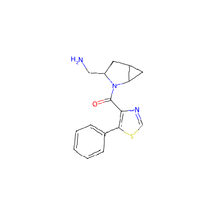 NCC1CC2CC2N1C(=O)c1ncsc1-c1ccccc1